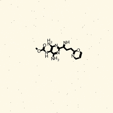 COC(=O)Nc1c(N)nc(C(=N)CCC2=NCC=CO2)nc1N